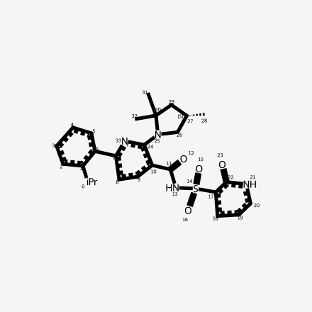 CC(C)c1ccccc1-c1ccc(C(=O)NS(=O)(=O)c2ccc[nH]c2=O)c(N2C[C@@H](C)CC2(C)C)n1